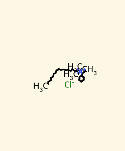 CCCCCCCC/C=C\CCCCCCCC[N+](CC)(CC)C(CC)c1ccccc1.[Cl-]